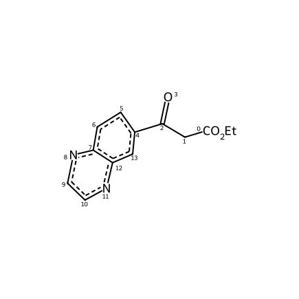 CCOC(=O)CC(=O)c1ccc2nccnc2c1